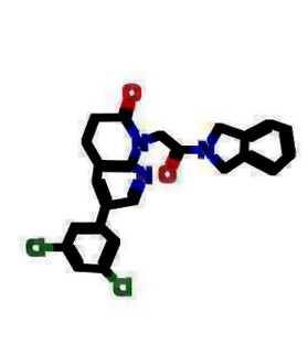 O=C(CN1C(=O)CCc2cc(-c3cc(Cl)cc(Cl)c3)cnc21)N1Cc2ccccc2C1